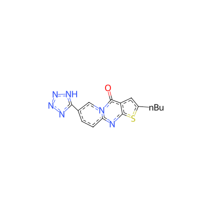 CCCCc1cc2c(=O)n3cc(-c4nnn[nH]4)ccc3nc2s1